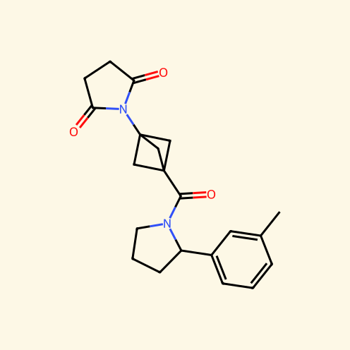 Cc1cccc(C2CCCN2C(=O)C23CC(N4C(=O)CCC4=O)(C2)C3)c1